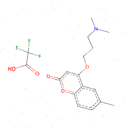 Cc1ccc2oc(=O)cc(OCCCN(C)C)c2c1.O=C(O)C(F)(F)F